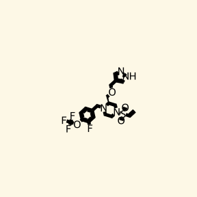 C=CS(=O)(=O)N1CCN(Cc2ccc(OC(F)(F)F)c(F)c2)[C@@H](COCc2cn[nH]c2)C1